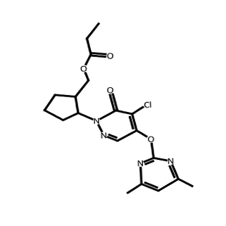 CCC(=O)OCC1CCCC1n1ncc(Oc2nc(C)cc(C)n2)c(Cl)c1=O